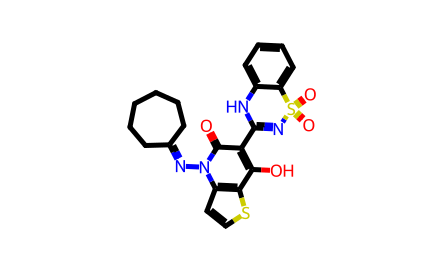 O=c1c(C2=NS(=O)(=O)c3ccccc3N2)c(O)c2sccc2n1N=C1CCCCCC1